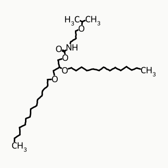 CCCCCCCCCCCCCCOCC(COC(=O)NCCCOC(C)C)OCCCCCCCCCCCCCC